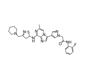 Cc1cn2c(-c3cnn(CC(=O)Nc4ccccc4F)c3)cnc2c(NC2CC(CN3CCCCC3)=NS2)n1